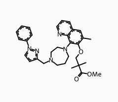 COC(=O)C(C)(C)COc1c(C)cc2cccnc2c1N1CCCN(Cc2ccn(-c3ccccc3)n2)CC1